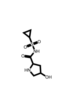 O=C(NS(=O)(=O)C1CC1)C1CC(O)CN1